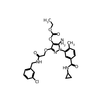 CCOC(=O)Oc1c(OCC(=O)NCc2cccc(Cl)c2)nn(-c2cc(C(=O)NC3CC3)ccc2C)c1N